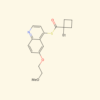 CCC1(C(=O)Sc2ccnc3ccc(OCCOC)cc23)CCC1